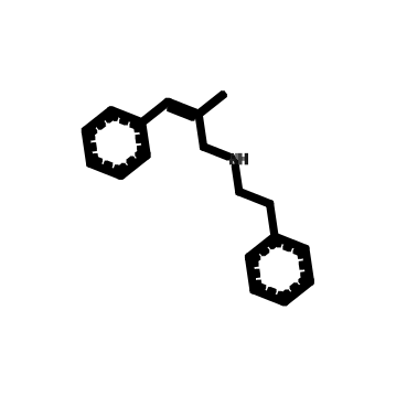 CC(=Cc1ccccc1)CNCCc1ccccc1